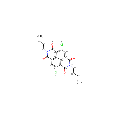 CCCCN1C(=O)c2cc(Cl)c3c4c(cc(Cl)c(c24)C1=O)C(=O)N(CCCC)C3=O